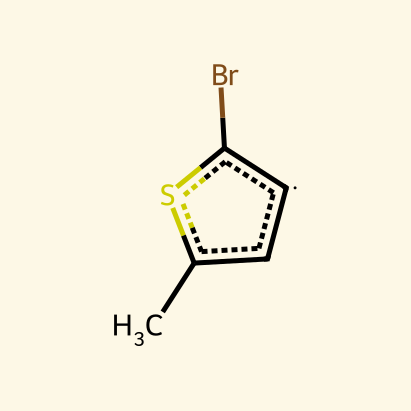 Cc1c[c]c(Br)s1